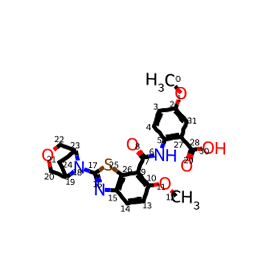 COc1ccc(NC(=O)c2c(OC)ccc3nc(N4C5COCC4C5)sc23)c(C(=O)O)c1